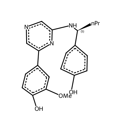 CCC[C@H](Nc1cncc(-c2ccc(O)c(OC)c2)n1)c1ccc(O)cc1